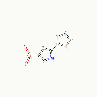 O=[SH](=O)c1c[nH]c(-c2cccs2)c1